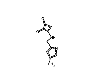 Cn1cnc(CNc2cc(=O)c2=O)c1